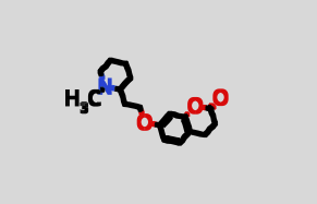 CN1CCCCC1CCOc1ccc2c(c1)OC(=O)CC2